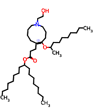 CCCCCCCCC(C)O/C1=C(\CCC(=O)OC(CCCCCCCC)CCCCCCCC)CCCCN(CCO)CCC1